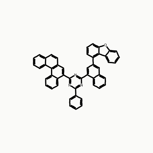 c1ccc(-c2nc(-c3cc(-c4cccc5oc6ccccc6c45)cc4ccccc34)nc(-c3cc4ccc5ccccc5c4c4ccccc34)n2)cc1